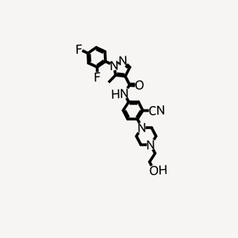 Cc1c(C(=O)Nc2ccc(N3CCN(CCO)CC3)c(C#N)c2)cnn1-c1ccc(F)cc1F